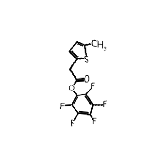 Cc1ccc(CC(=O)Oc2c(F)c(F)c(F)c(F)c2F)s1